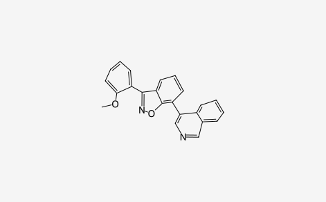 COc1ccccc1-c1noc2c(-c3cncc4ccccc34)cccc12